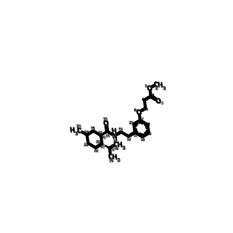 COC(=O)CCOc1cccc(CCNC(=O)[C@@H]2CC(C)CC[C@H]2C(C)C)c1